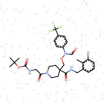 Cc1c(Cl)cccc1CNC(=O)C1(CON(C=O)c2ccc(C(F)(F)F)cc2)CCN(C(=O)CNC(=O)OC(C)(C)C)CC1